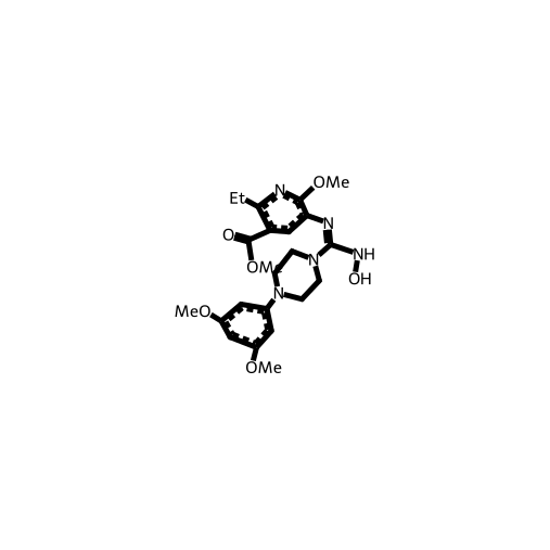 CCc1nc(OC)c(N=C(NO)N2CCN(c3cc(OC)cc(OC)c3)CC2)cc1C(=O)OC